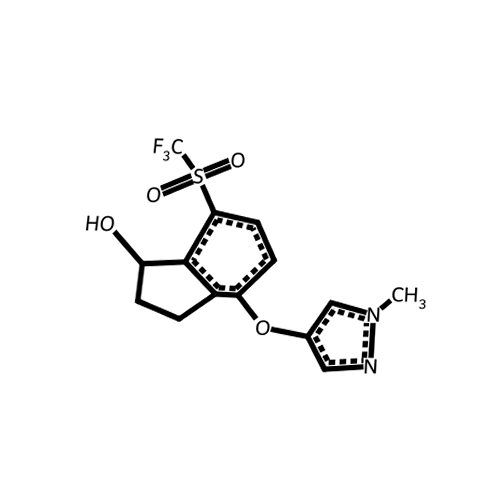 Cn1cc(Oc2ccc(S(=O)(=O)C(F)(F)F)c3c2CCC3O)cn1